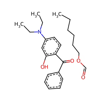 CCCCCCOC=O.CCN(CC)c1ccc(C(=O)c2ccccc2)c(O)c1